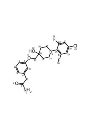 NC(=O)Cc1cccc(OCC2(O)CCN(c3c(F)cc(Cl)cc3F)CC2)c1